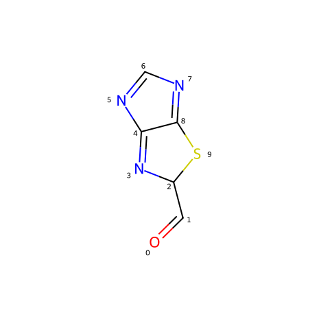 O=CC1N=C2N=CN=C2S1